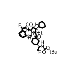 CC[C@@]1(C(N)=O)[C@H](C2CCCCC2)CC(n2c(C(=O)O)c(F)c3ccccc32)N1C(=O)[C@H]1CC[C@H](C(CF)NC(=O)OC(C)(C)C)CC1